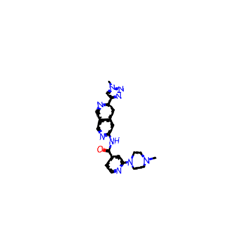 CN1CCN(c2cc(C(=O)Nc3cc4cc(-c5cn(C)nn5)ncc4cn3)ccn2)CC1